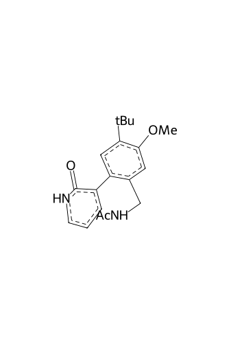 COc1cc(CNC(C)=O)c(-c2ccc[nH]c2=O)cc1C(C)(C)C